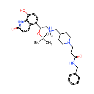 CC(C)(C)[Si](C)(C)O[C@@H](CNCC1CCN(CCC(=O)NCc2ccccc2)CC1)c1ccc(O)c2[nH]c(=O)ccc12